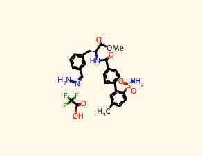 COC(=O)[C@H](Cc1cccc(/C=N\N)c1)NC(=O)c1ccc(-c2cc(C)ccc2S(N)(=O)=O)cc1.O=C(O)C(F)(F)F